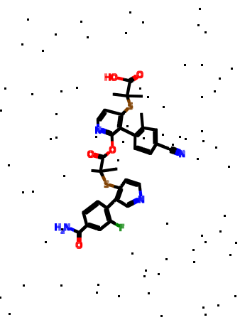 Cc1cc(C#N)ccc1-c1c(SC(C)(C)C(=O)O)ccnc1OC(=O)C(C)(C)Sc1ccncc1-c1ccc(C(N)=O)cc1F